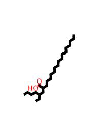 CCCCCCCCCCCCCCCCC(CC(CC)CCCC)C(=O)O